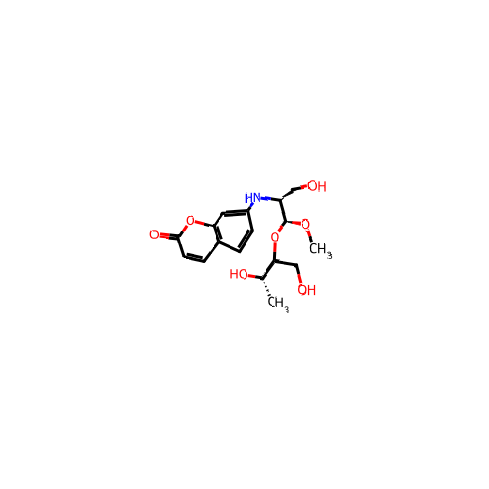 CO[C@@H](OC(CO)[C@H](C)O)[C@H](CO)Nc1ccc2ccc(=O)oc2c1